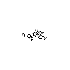 C=CCn1c(=O)c2cnc(Nc3ccc(OC(C)C)cc3)nc2n1-c1cccc(CN(C)C)n1